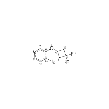 FC1(F)CC(Oc2ccccc2I)C1